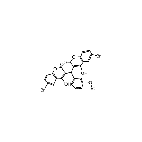 CCOc1cccc(C(c2c(O)c3cc(Br)ccc3oc2=O)c2c(O)c3cc(Br)ccc3oc2=O)c1